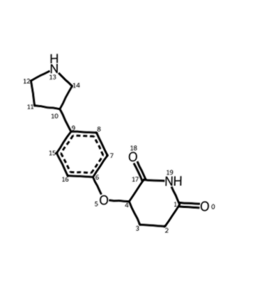 O=C1CCC(Oc2ccc(C3CCNC3)cc2)C(=O)N1